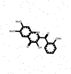 COc1cc2[nH]c(C(=O)c3ccccc3OC)c(O)c(=O)c2cc1OC